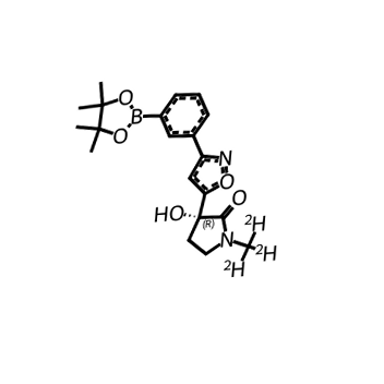 [2H]C([2H])([2H])N1CC[C@@](O)(c2cc(-c3cccc(B4OC(C)(C)C(C)(C)O4)c3)no2)C1=O